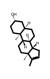 CC1=CC[C@H]2[C@@H]3CC[C@@H]4C[C@@H](O)CC[C@]4(C)[C@H]3CC[C@]12C